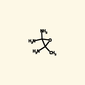 CC1(N)OC1(N)N